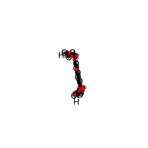 O=C1CCC(N2Cc3c(CCCOCCOCCOCCOCCOCCCc4cccc5c4CN(C4CCC(=O)NC4=O)C5=O)cccc3C2=O)C(=O)N1